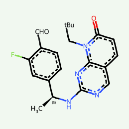 C[C@H](Nc1ncc2ccc(=O)n(CC(C)(C)C)c2n1)c1ccc(C=O)c(F)c1